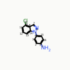 Nc1ccc(-n2ncc3c(Cl)cccc32)cc1